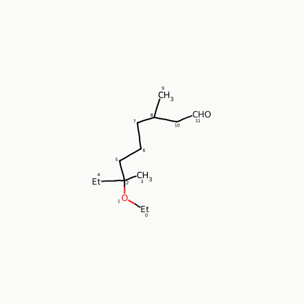 CCOC(C)(CC)CCCC(C)CC=O